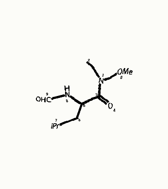 CON(C)C(=O)C(CC(C)C)NC=O